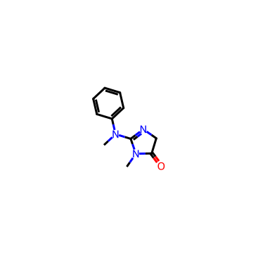 CN1C(=O)CN=C1N(C)c1ccccc1